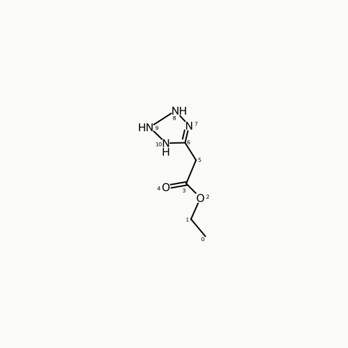 CCOC(=O)CC1=NNNN1